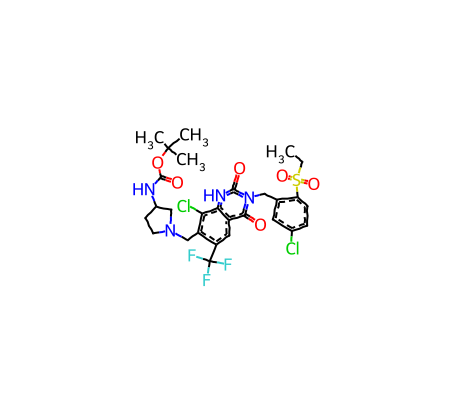 CCS(=O)(=O)c1ccc(Cl)cc1Cn1c(=O)[nH]c2c(Cl)c(CN3CCC(NC(=O)OC(C)(C)C)C3)c(C(F)(F)F)cc2c1=O